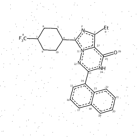 CCc1nc(C2CCC(C(F)(F)F)CC2)n2nc(-c3cccc4ccccc34)[nH]c(=O)c12